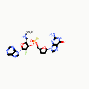 Nc1nc2c(ncn2[C@H]2CC[C@@H](COP(=O)(S)O[C@H]3[C@@H](F)[C@H](n4cnc5cncnc54)O[C@@H]3CNS(=O)(=O)O)O2)c(=O)[nH]1